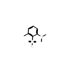 Cc1cccc(N(C)C)c1S(N)(=O)=O